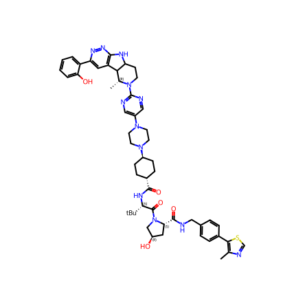 Cc1ncsc1-c1ccc(CNC(=O)[C@@H]2C[C@@H](O)CN2C(=O)[C@@H](NC(=O)[C@H]2CC[C@H](N3CCN(c4cnc(N5CCC6Nc7nnc(-c8ccccc8O)cc7C6[C@H]5C)nc4)CC3)CC2)C(C)(C)C)cc1